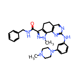 CN1CCN(c2cccc(Nc3ncc4c(n3)-c3c(c(C(=O)NCc5ccccc5)nn3C)CC4)c2)CC1